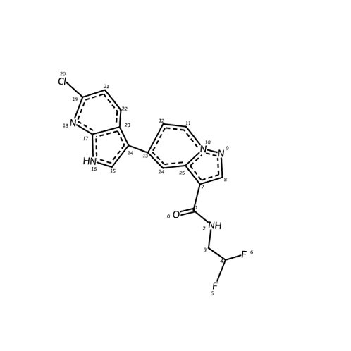 O=C(NCC(F)F)c1cnn2ccc(-c3c[nH]c4nc(Cl)ccc34)cc12